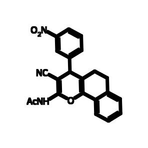 CC(=O)NC1=C(C#N)C(c2cccc([N+](=O)[O-])c2)C2=C(O1)c1ccccc1CC2